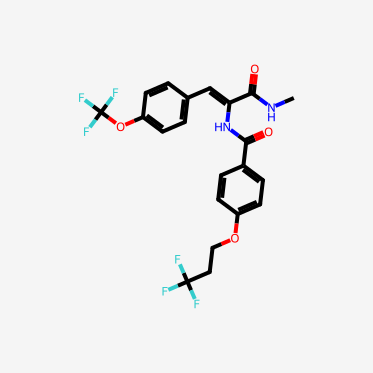 CNC(=O)C(=Cc1ccc(OC(F)(F)F)cc1)NC(=O)c1ccc(OCCC(F)(F)F)cc1